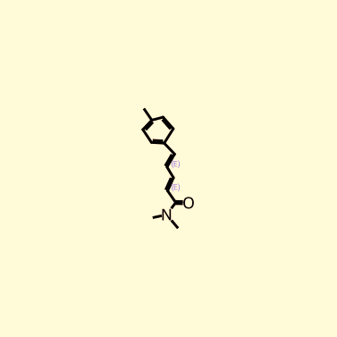 Cc1ccc(/C=C/C=C/C(=O)N(C)C)cc1